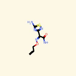 C=CCO/N=C(\C([NH])=O)c1nsc(N)n1